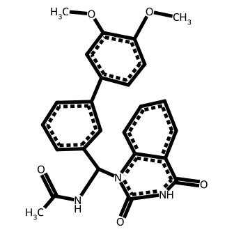 COc1ccc(-c2cccc(C(NC(C)=O)n3c(=O)[nH]c(=O)c4ccccc43)c2)cc1OC